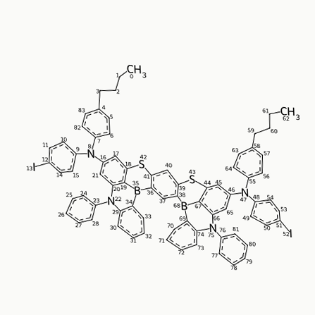 CCCCc1ccc(N(c2ccc(I)cc2)c2cc3c4c(c2)N(c2ccccc2)c2ccccc2B4c2cc4c(cc2S3)Sc2cc(N(c3ccc(I)cc3)c3ccc(CCCC)cc3)cc3c2B4c2ccccc2N3c2ccccc2)cc1